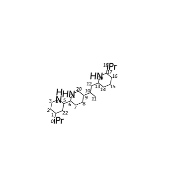 CC(C)C1CCNC(C2CCC(C(C)CC3CCCC(C(C)C)N3)CN2)C1